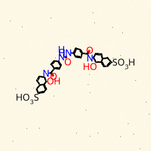 O=C(Nc1ccc(C(=O)N=C2C=CC3CC(S(=O)(=O)O)=CC=C3C2O)cc1)Nc1ccc(C(=O)N=C2C=CC3CC(S(=O)(=O)O)=CC=C3C2O)cc1